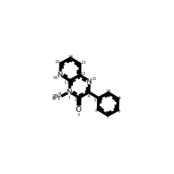 CC(C)n1c(=O)c(-c2ccccc2)nc2cccnc21